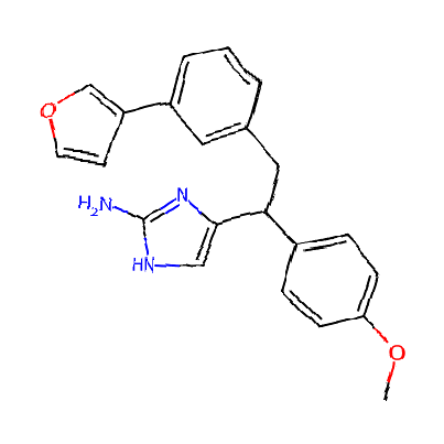 COc1ccc(C(Cc2cccc(-c3ccoc3)c2)c2c[nH]c(N)n2)cc1